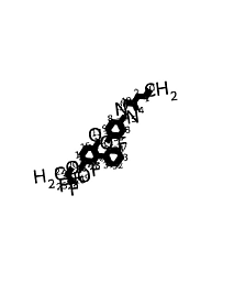 C=CCc1cnc(-c2ccc(OC(=O)c3ccc(C(=O)OC(=C)C(F)(F)F)c(F)c3-c3ccccc3)c(F)c2)nc1